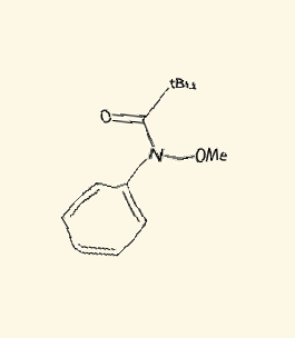 CON(C(=O)C(C)(C)C)c1ccccc1